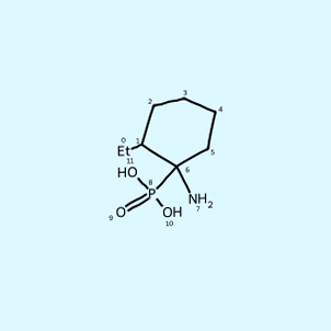 CCC1CCCCC1(N)P(=O)(O)O